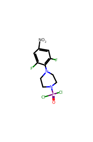 O=[N+]([O-])c1cc(F)c(N2CCN(P(=O)(Cl)Cl)CC2)c(F)c1